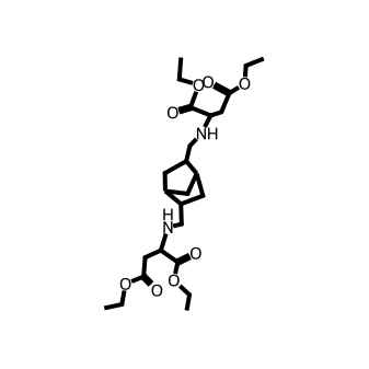 CCOC(=O)CC(NCC1CC2CC1CC2CNC(CC(=O)OCC)C(=O)OCC)C(=O)OCC